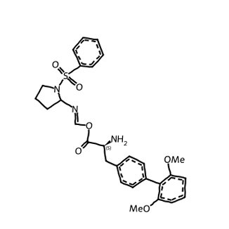 COc1cccc(OC)c1-c1ccc(C[C@H](N)C(=O)OC=NC2CCCN2S(=O)(=O)c2ccccc2)cc1